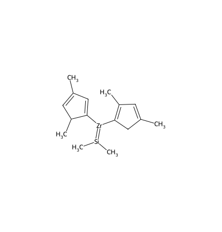 CC1=CC(C)[C]([Zr]([C]2=C(C)C=C(C)C2)=[Si](C)C)=C1